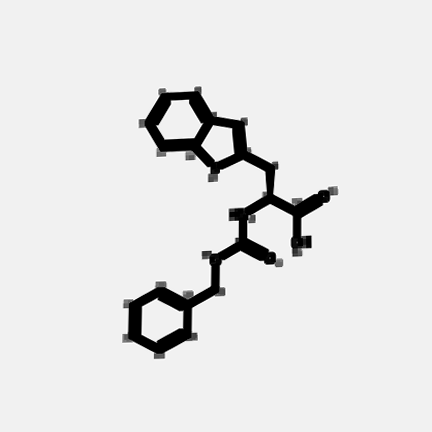 O=C(N[C@@H](Cc1cc2ccccc2s1)C(=O)O)OCc1ccccc1